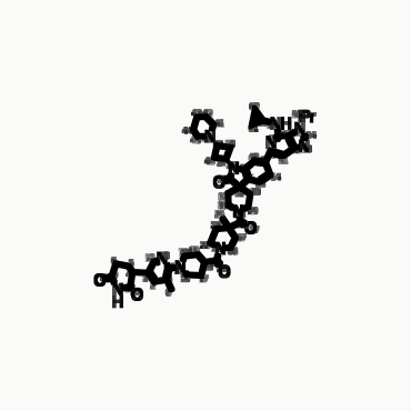 Cc1cc(C2CCC(=O)NC2=O)cnc1N1CCC(C(=O)N2CCC(C)(C(=O)N3CCC4(CC3)C(=O)N([C@H]3C[C@@H](N5CCCCC5)C3)c3cc(-c5cc6ncn(C(C)C)c6c(NC6CC6)n5)ccc34)CC2)CC1